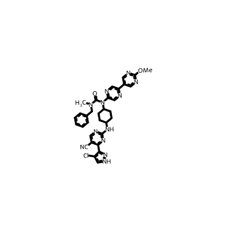 COc1ncc(-c2cnc(N(C(=O)N(C)Cc3ccccc3)C3CCC(Nc4ncc(C#N)c(-c5n[nH]cc5Cl)n4)CC3)cn2)cn1